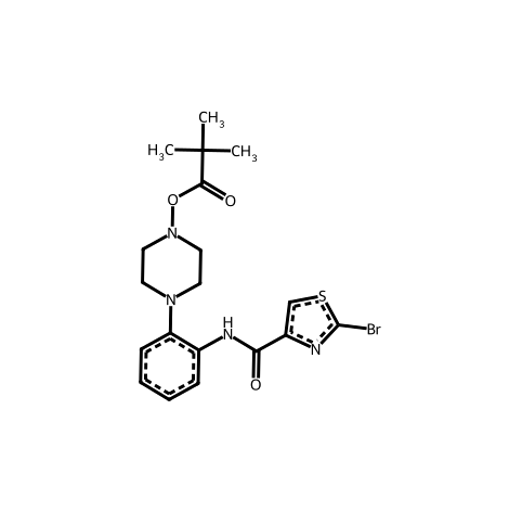 CC(C)(C)C(=O)ON1CCN(c2ccccc2NC(=O)c2csc(Br)n2)CC1